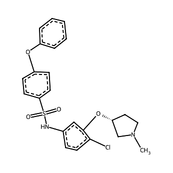 CN1CC[C@@H](Oc2cc(NS(=O)(=O)c3ccc(Oc4ccccc4)cc3)ccc2Cl)C1